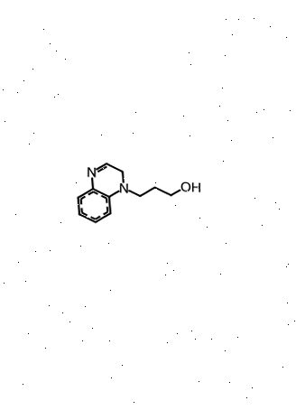 OCCCN1CC=Nc2ccccc21